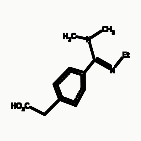 CCN=C(c1ccc(CC(=O)O)cc1)N(C)C